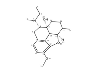 CCN(C)[C@H]1Cc2ccc(OC)c3c2C2[C@H](O3)C(C)CC[C@@]21O